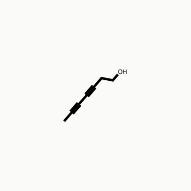 CC#CC#CCCO